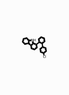 Clc1ccc(-c2ccccc2-c2cccc3c2[nH]c2ccccc23)cc1